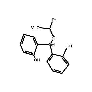 CCC(OC)O[SiH](c1ccccc1O)c1ccccc1O